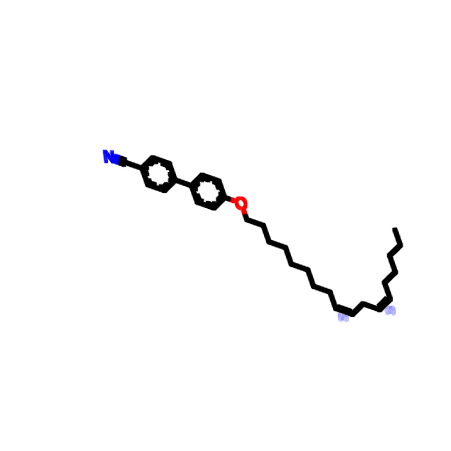 CCCCC/C=C\C/C=C\CCCCCCCCOc1ccc(-c2ccc(C#N)cc2)cc1